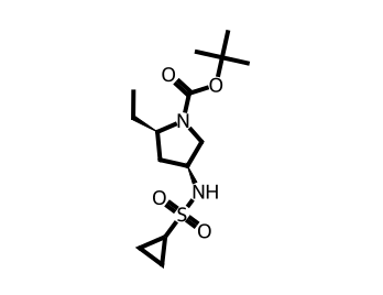 CC[C@@H]1C[C@H](NS(=O)(=O)C2CC2)CN1C(=O)OC(C)(C)C